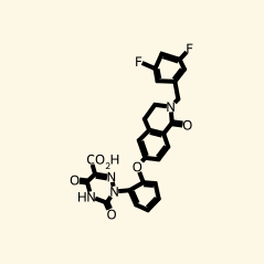 O=C(O)c1nn(-c2ccccc2Oc2ccc3c(c2)CCN(Cc2cc(F)cc(F)c2)C3=O)c(=O)[nH]c1=O